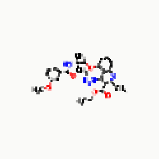 CCOC(=O)c1c(C)nc2cccc(OCC(C)(C)NC(=O)c3cccc(OC)c3)c2c1N